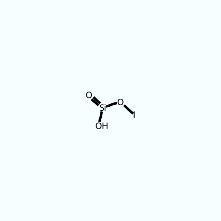 O=[Si](O)OI